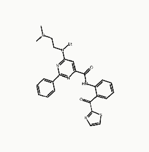 CCN(CCN(C)C)c1cc(C(=O)Nc2ccccc2C(=O)c2nccs2)nc(-c2ccccc2)n1